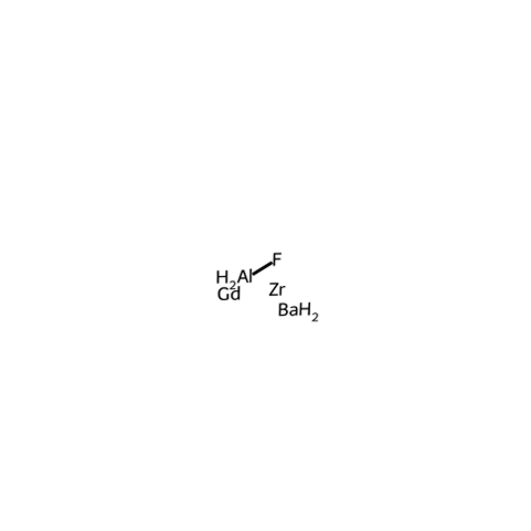 [BaH2].[F][AlH2].[Gd].[Zr]